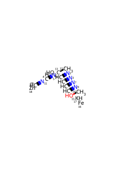 C#N.C#N.C#N.C#N.C#N.C#N.CC(=O)O.CO.[Fe].[KH].[Zn]